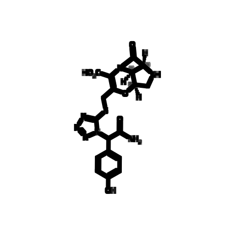 NC(=O)C(c1ccc(O)cc1)n1nnnc1SCC1=C(C(=O)O)N2C(=O)[C@H]3NC[C@@H](O1)[C@H]32